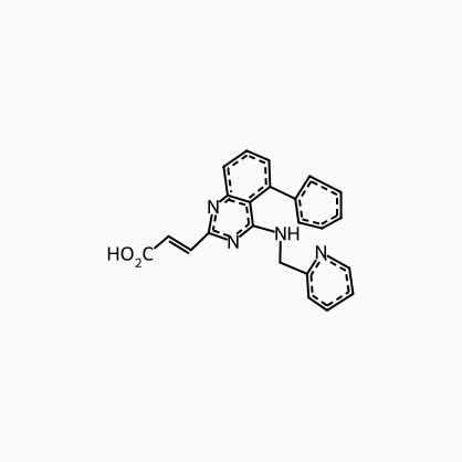 O=C(O)C=Cc1nc(NCc2ccccn2)c2c(-c3ccccc3)cccc2n1